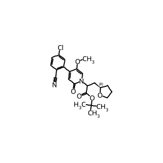 COc1cn(C(C[C@H]2CCCO2)C(=O)OC(C)(C)C)c(=O)cc1-c1cc(Cl)ccc1C#N